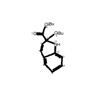 CC(C)COC(=O)C1(OCC(C)C)C=Cc2ccccc2N1